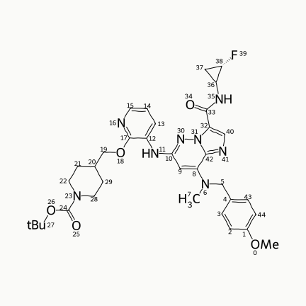 COc1ccc(CN(C)c2cc(Nc3cccnc3OCC3CCN(C(=O)OC(C)(C)C)CC3)nn3c(C(=O)NC4C[C@@H]4F)cnc23)cc1